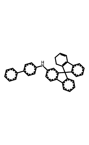 C1=CC2=C(CC1)C1(c3ccccc32)c2ccccc2-c2ccc(Nc3ccc(-c4ccccc4)cc3)cc21